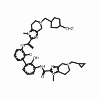 C=C(Nc1cccc(-c2cccc(NC(=O)c3nc4c(n3C)CCN(CC3CC3)C4)c2O)c1Cl)c1nc2c(n1C)CCN(CC1CCC(C=O)CC1)C2